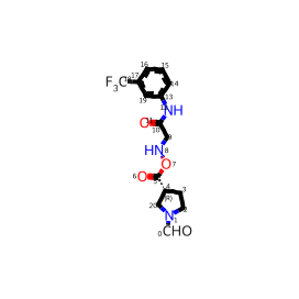 O=CN1CC[C@@H](C(=O)ONCC(=O)Nc2cccc(C(F)(F)F)c2)C1